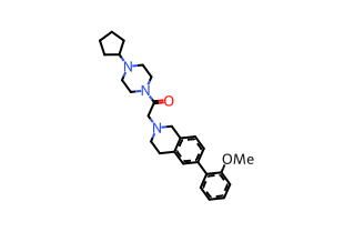 COc1ccccc1-c1ccc2c(c1)CCN(CC(=O)N1CCN(C3CCCC3)CC1)C2